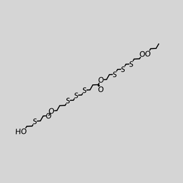 CCCOOCCSCSCSCCOC(=O)CCSCSCSCCCOOCCSCCO